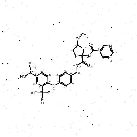 COC1CCC(NC(=O)c2cncnc2)(C(=O)NCc2ccc(Oc3ccc(C(C)O)cc3C(F)(F)F)cc2)C1